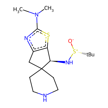 CN(C)c1nc2c(s1)[C@@H](N[S@+]([O-])C(C)(C)C)C1(CCNCC1)C2